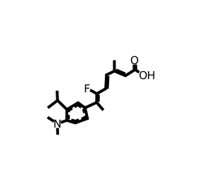 CC(C=CC(F)=C(C)c1ccc(N(C)C)c(C(C)C)c1)=CC(=O)O